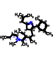 C=C/C=C\N(C)/C(C)=C(\C=C)C(=C)CC1=C(c2cc(C)ccc2CC)N=C(C=C(C)C)C1